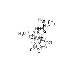 CCCN1C[C@@H](NC(=S)N(CC)CC)C[C@@H]2c3cc(Cl)cc4[nH]c(Cl)c(c34)C[C@H]21